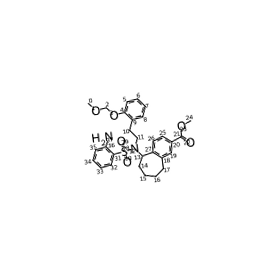 COCOc1ccccc1CCN(C1CCCCc2cc(C(=O)OC)ccc21)S(=O)(=O)c1ccccc1N